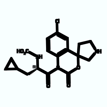 O=C(O)N[C@@H](CC1CC1)C(=O)N1C(=O)OC2(CCNC2)c2cc(Cl)ccc21